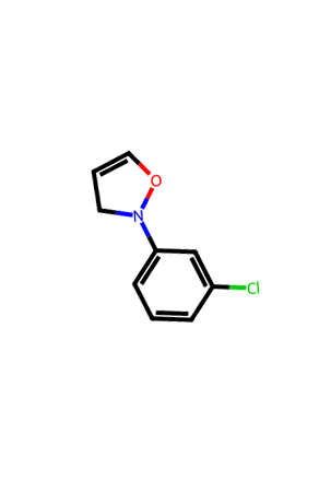 Clc1cccc(N2CC=CO2)c1